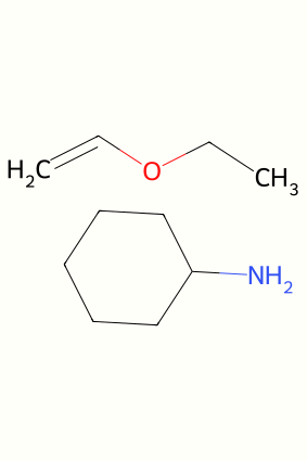 C=COCC.NC1CCCCC1